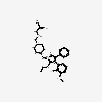 CCSc1c(-c2cccc(OC)c2F)c(-c2ccccc2)nn1C[C@H]1CC[C@H](COCC(=O)O)CC1